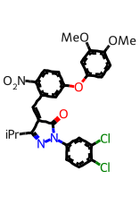 COc1ccc(Oc2ccc([N+](=O)[O-])c(C=C3C(=O)N(c4ccc(Cl)c(Cl)c4)N=C3C(C)C)c2)cc1OC